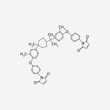 Cc1cc(C2(C)CCC(C(C)(C)c3ccc(Oc4ccc(N5C(=O)C=CC5=O)cc4)c(C)c3)CC2)ccc1Oc1ccc(N2C(=O)C=CC2=O)cc1